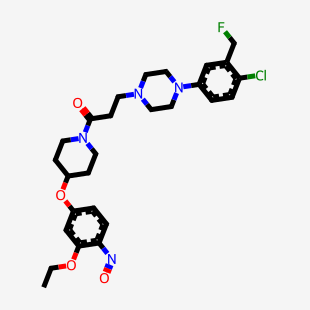 CCOc1cc(OC2CCN(C(=O)CCN3CCN(c4ccc(Cl)c(CF)c4)CC3)CC2)ccc1N=O